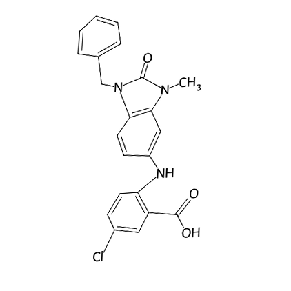 Cn1c(=O)n(Cc2ccccc2)c2ccc(Nc3ccc(Cl)cc3C(=O)O)cc21